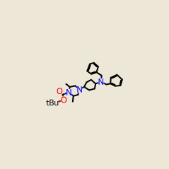 CC1CN(C2CCC(N(Cc3ccccc3)Cc3ccccc3)CC2)CC(C)N1C(=O)OC(C)(C)C